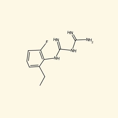 CCc1cccc(F)c1NC(=N)NC(=N)N